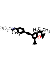 CCOC(=O)/C(C)=C/c1ccc(C#Cc2cc3c(c(C4CC4)c2)OC2(CC2)C(C)=C3C)cc1